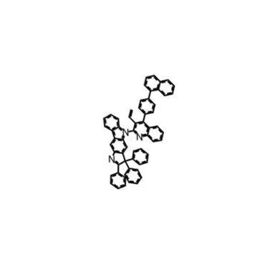 C=Cc1c(-n2c3ccccc3c3cc4c(cc32)C(c2ccccc2)(c2ccccc2)C(c2ccccc2)=N4)nc2ccccc2c1-c1ccc(-c2cccc3ccccc23)cc1